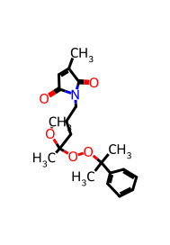 COC(C)(CCCN1C(=O)C=C(C)C1=O)OOC(C)(C)c1ccccc1